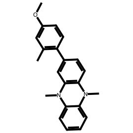 COc1ccc(-c2ccc3c(c2)N(C)c2ccccc2N3C)c(C)c1